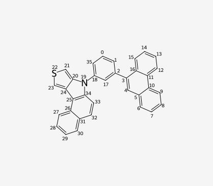 c1cc(-c2cc3ccccc3c3ccccc23)cc(-n2c3cscc3c3c4ccccc4ccc32)c1